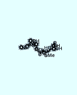 COc1cc(C(=O)NCc2ccc(-c3cccc(C(O)(C(=O)OCC4(C)CCN(Cc5ccccc5)CC4)c4ccccc4)c3)s2)c(Cl)cc1CNC[C@H](O)c1ccc(O)c2[nH]c(=O)ccc12